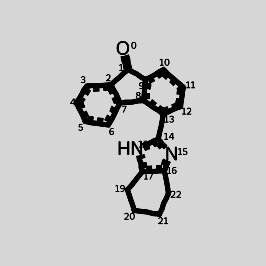 O=C1c2ccccc2-c2c1cccc2-c1nc2c([nH]1)CCCC2